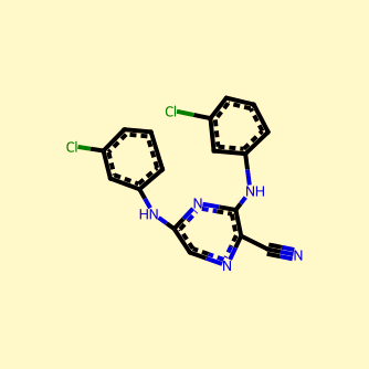 N#Cc1ncc(Nc2cccc(Cl)c2)nc1Nc1cccc(Cl)c1